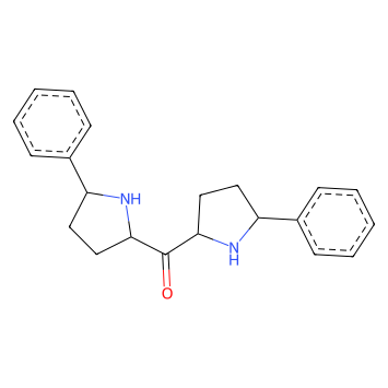 O=C(C1CCC(c2ccccc2)N1)C1CCC(c2ccccc2)N1